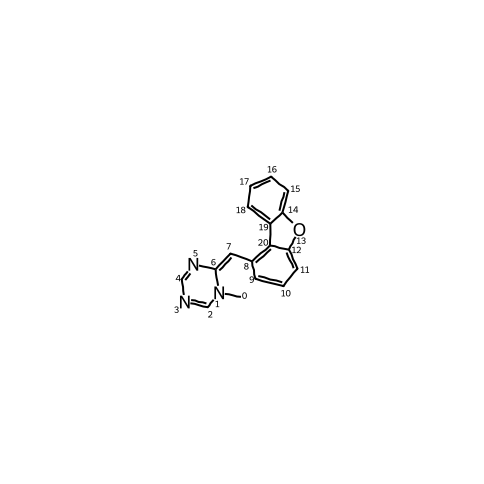 CN1C=NC=N/C1=C/c1cccc2oc3ccccc3c12